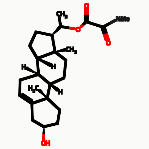 CNC(=O)C(=O)OC(C)[C@H]1CC[C@H]2[C@@H]3CC=C4C[C@@H](O)CC[C@]4(C)[C@H]3CC[C@]12C